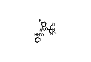 COCc1nc(C)ncc1OC[C@@]1(c2cccc(F)c2)C[C@H]1C(=O)Nc1ccccn1